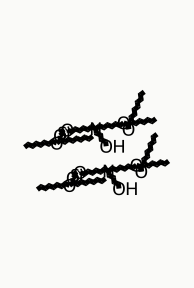 CCCCCCCCOC(CCCCCCCC)O[Si](C)(C)OCCCCCCN(CCCCO)CCCCCCOC(=O)C(CCCCCC)CCCCCCCC.CCCCCCCCOC(CCCCCCCC)O[Si](C)(C)OCCCCCCN(CCCCO)CCCCCCOC(=O)C(CCCCCC)CCCCCCCC